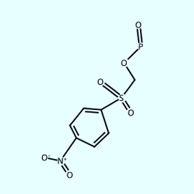 O=POCS(=O)(=O)c1ccc([N+](=O)[O-])cc1